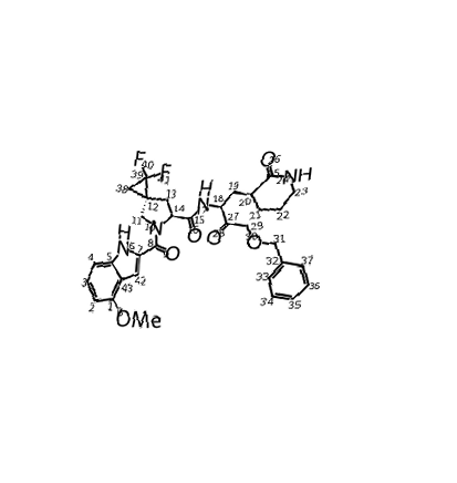 COc1cccc2[nH]c(C(=O)N3C[C@]4(C[C@H]3C(=O)NC(C[C@@H]3CCCNC3=O)C(=O)COCc3ccccc3)CC4(F)F)cc12